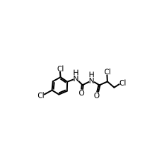 O=C(NC(=O)C(Cl)CCl)Nc1ccc(Cl)cc1Cl